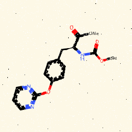 COC(=O)[C@H](Cc1ccc(Oc2ncccn2)cc1)NC(=O)OC(C)(C)C